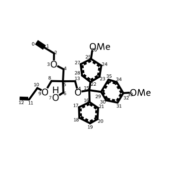 C#CCOCC(CO)(COCC=C)COC(c1ccccc1)(c1ccc(OC)cc1)c1ccc(OC)cc1